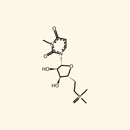 C=P(C)(C)CC[C@H]1O[C@@H](n2ccc(=O)n(C)c2=O)[C@H](O)[C@@H]1O